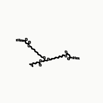 CCCCCCC(=O)CC(=O)OCCCCCCCCOCC(COC(=O)CCCN(C)C)OCCCCCCCCOC(=O)CC(=O)CCCCCC